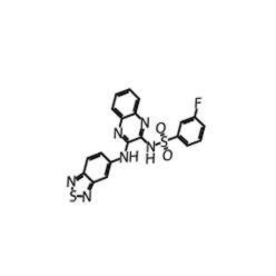 O=S(=O)(Nc1nc2ccccc2nc1Nc1ccc2nsnc2c1)c1cccc(F)c1